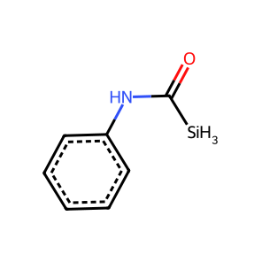 O=C([SiH3])Nc1ccccc1